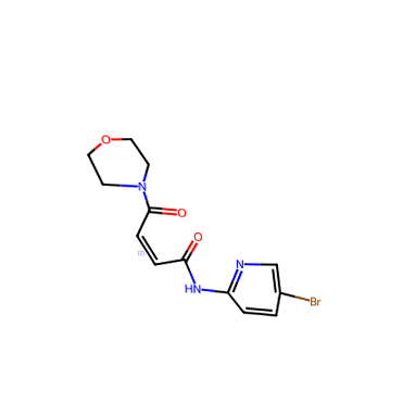 O=C(/C=C\C(=O)N1CCOCC1)Nc1ccc(Br)cn1